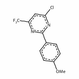 COc1ccc(-c2nc(Cl)cc(C(F)(F)F)n2)cc1